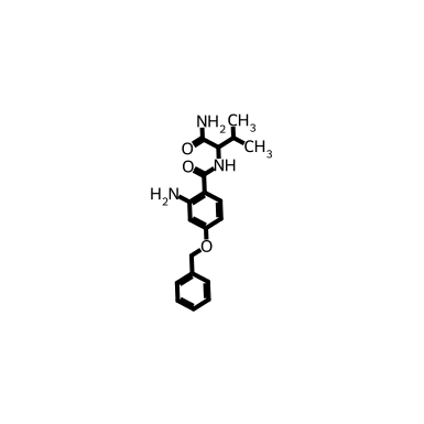 CC(C)C(NC(=O)c1ccc(OCc2ccccc2)cc1N)C(N)=O